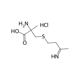 CC(=N)CCSCC(C)(N)C(=O)O.Cl